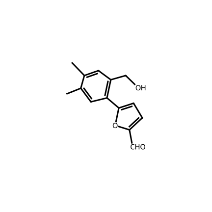 Cc1cc(CO)c(-c2ccc(C=O)o2)cc1C